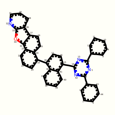 c1ccc(-c2nc(-c3ccccc3)nc(-c3ccc(-c4cccc5c4ccc4c6cccnc6oc54)c4ccccc34)n2)cc1